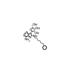 Nc1ncnc2c1nc(NCCCCCCc1ccccc1)n2[C@@H]1O[C@H](CO)C(O)C1O